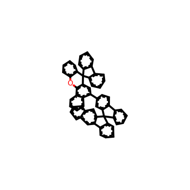 c1ccc2c(c1)Oc1c(cc(-c3ccc4c(c3)C3(c5ccccc5-4)c4ccccc4-c4cc5ccccc5cc43)c3ccccc13)C21c2ccccc2-c2ccccc21